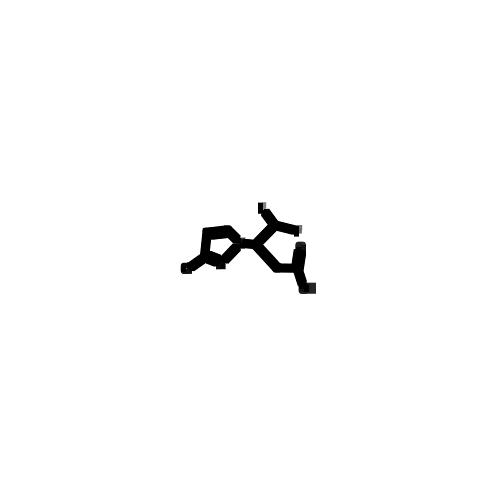 O=C(O)CC(C(F)F)n1ccc(Cl)n1